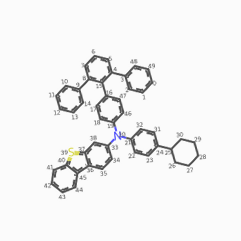 c1ccc(-c2cccc(-c3ccccc3)c2-c2ccc(N(c3ccc(C4CCCCC4)cc3)c3ccc4c(c3)sc3ccccc34)cc2)cc1